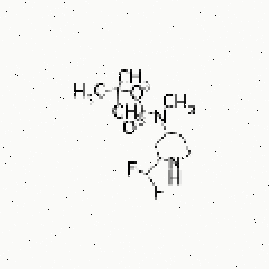 CN(C(=O)OC(C)(C)C)C1CCNC(C(F)F)C1